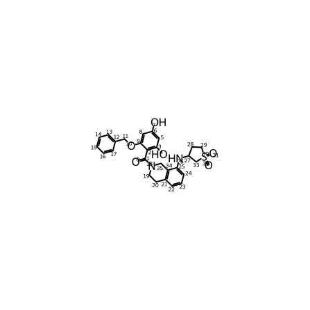 O=C(c1c(O)cc(O)cc1OCc1ccccc1)N1CCc2cccc(NC3CCS(=O)(=O)C3)c2C1